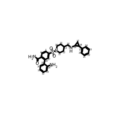 NC(=O)c1ccc(S(=O)(=O)N2CCC(CNC3CC3c3ccccc3)CC2)cc1-c1ccccc1N